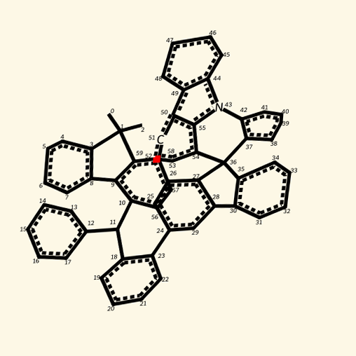 CC1(C)c2ccccc2-c2c(C(c3ccccc3)c3ccccc3-c3ccc4c(c3)-c3ccccc3C43c4ccccc4-n4c5ccccc5c5cccc3c54)cccc21